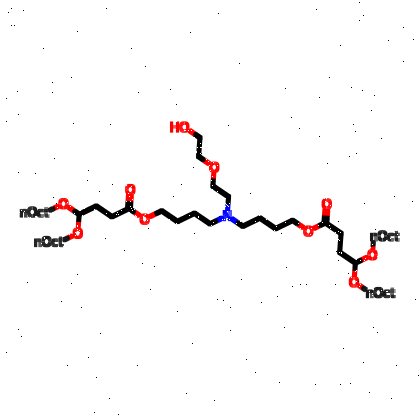 CCCCCCCCOC(CCC(=O)OCCCCN(CCCCOC(=O)CCC(OCCCCCCCC)OCCCCCCCC)CCOCCO)OCCCCCCCC